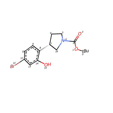 CC(C)(C)OC(=O)N1CC[C@@H](c2ccc(Br)cc2O)C1